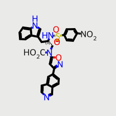 O=C(O)N(C[C@H](Cc1c[nH]c2ccccc12)NS(=O)(=O)c1ccc([N+](=O)[O-])cc1)c1cc(-c2ccc3cnccc3c2)no1